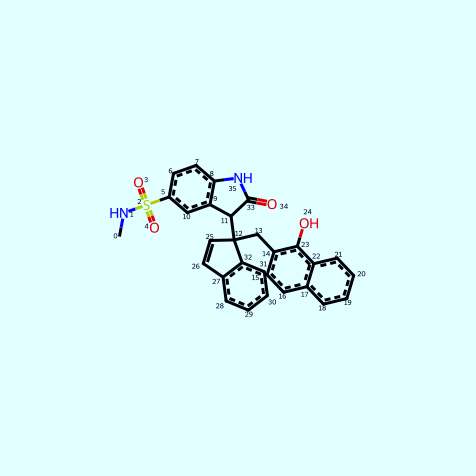 CNS(=O)(=O)c1ccc2c(c1)C(C1(Cc3ccc4ccccc4c3O)C=Cc3ccccc31)C(=O)N2